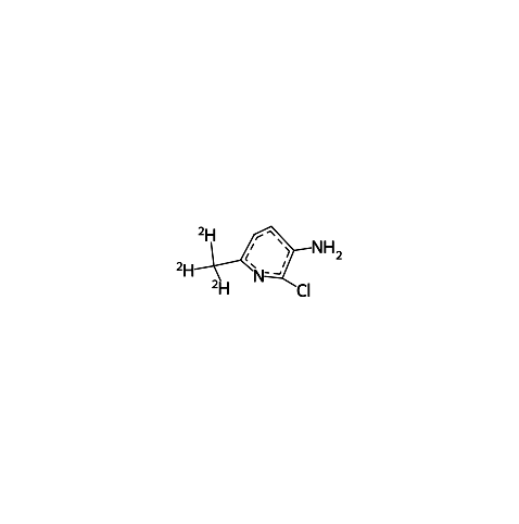 [2H]C([2H])([2H])c1ccc(N)c(Cl)n1